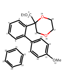 CCOC(=O)C1(c2ccccc2-c2ccc(OC)cc2)COCCO1.[c]1ccccc1